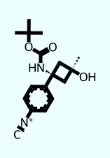 [C-]#[N+]c1ccc([C@]2(NC(=O)OC(C)(C)C)C[C@](C)(O)C2)cc1